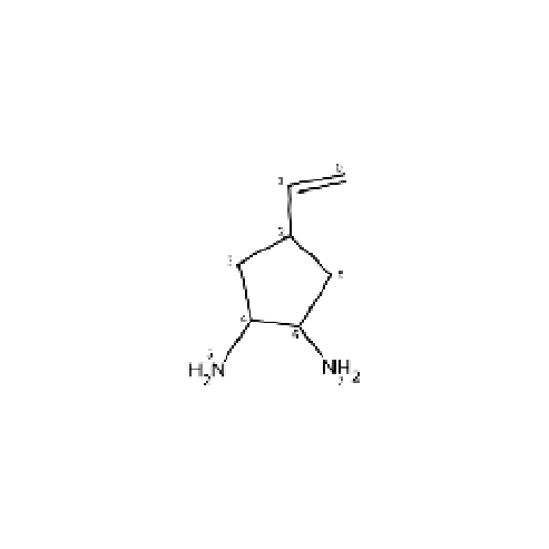 C=CC1CC(N)C(N)C1